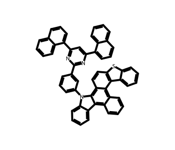 c1cc(-c2nc(-c3cccc4ccccc34)cc(-c3cccc4ccccc34)n2)cc(-n2c3ccccc3c3c4ccccc4c4c(ccc5sc6ccccc6c54)c32)c1